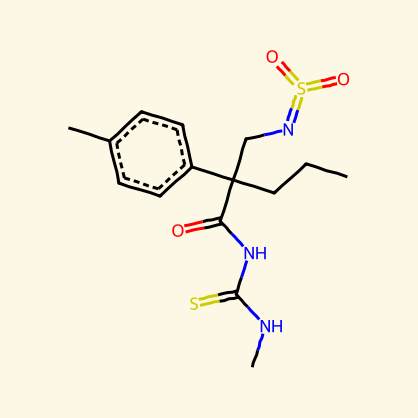 CCCC(CN=S(=O)=O)(C(=O)NC(=S)NC)c1ccc(C)cc1